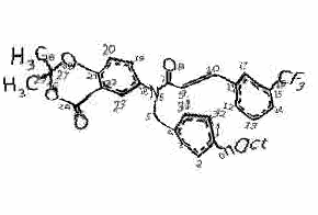 CCCCCCCCc1ccc(CN(C(=O)/C=C/c2cccc(C(F)(F)F)c2)c2ccc3c(c2)C(=O)OC(C)(C)O3)cc1